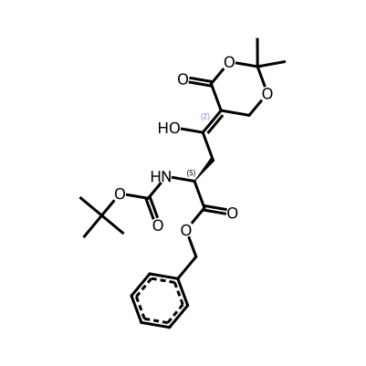 CC(C)(C)OC(=O)N[C@@H](C/C(O)=C1\COC(C)(C)OC1=O)C(=O)OCc1ccccc1